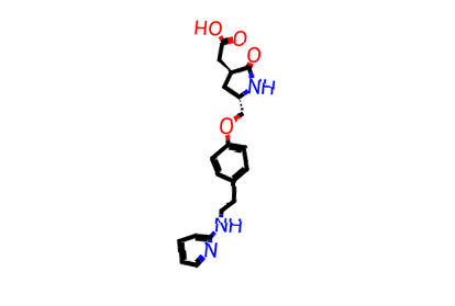 O=C(O)C[C@@H]1C[C@@H](COc2ccc(CCNc3ccccn3)cc2)NC1=O